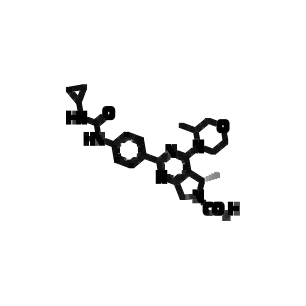 CC1COCCN1c1nc(-c2ccc(NC(=O)NC3CC3)cc2)nc2c1[C@H](C)N(C(=O)O)C2